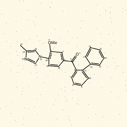 COc1cc(C(=O)c2ccccc2-c2ccccc2)ccc1-n1cnc(C)c1